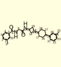 Cc1cccc(C(=O)NCC(=O)NC2CN(C3CCC(c4cccc(C)c4)CC3)C2)c1